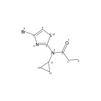 CCC(=O)N(c1nc(Br)cs1)C1CC1